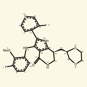 COc1c(F)cccc1Nc1c(-c2ccncc2F)[nH]c2c1C(=O)NC[C@@H]2C[C@@H]1COCCO1